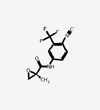 [C-]#[N+]c1ccc(NC(=O)[C@]2(C)CO2)cc1C(F)(F)F